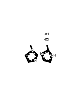 Cc1ncc[nH]1.Cl.Cl.Cn1ccnc1